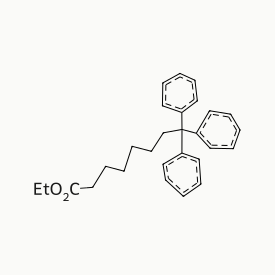 CCOC(=O)CCCCCCC(c1ccccc1)(c1ccccc1)c1ccccc1